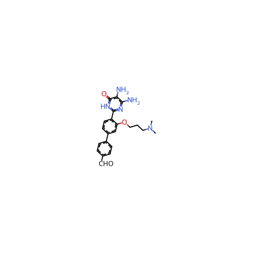 CN(C)CCCOc1cc(-c2ccc(C=O)cc2)ccc1-c1nc(N)c(N)c(=O)[nH]1